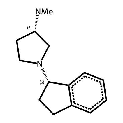 CN[C@H]1CCN([C@H]2CCc3ccccc32)C1